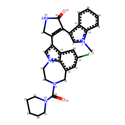 Cn1cc(C2=C(c3cn4c5c(cc(F)cc35)CN(C(=O)N3CCCCC3)CC4)CNC2=O)c2ccccc21